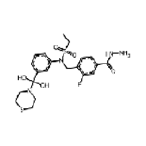 CCS(=O)(=O)N(Cc1ccc(C(=O)NN)cc1F)c1cccc(C(O)(O)N2CCSCC2)c1